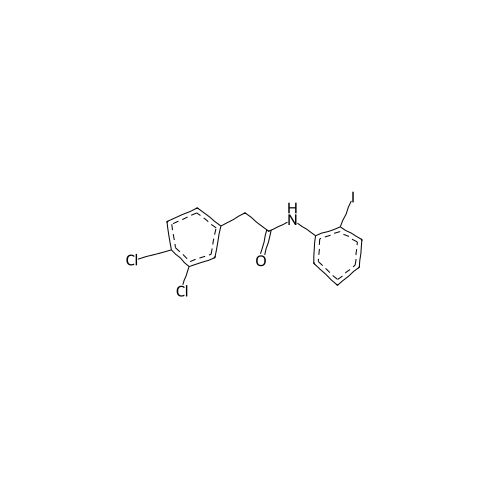 O=C(Cc1ccc(Cl)c(Cl)c1)Nc1ccccc1I